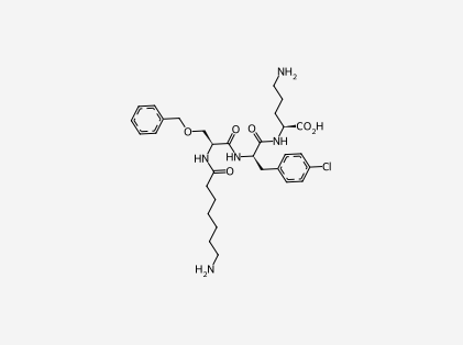 NCCCCCCC(=O)N[C@@H](COCc1ccccc1)C(=O)N[C@H](Cc1ccc(Cl)cc1)C(=O)N[C@@H](CCCN)C(=O)O